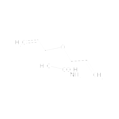 C=CCOCC=C.CC(=O)O.N